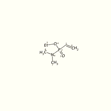 C=CP(=O)(OCC)N(C)C